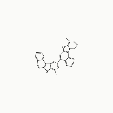 Cc1cccc2c1oc1cc(-c3cc(C)c4sc5ccc6ccccc6c5c4c3)c3ccccc3c12